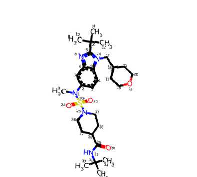 CN(c1ccc2c(c1)nc(C(C)(C)C)n2CC1CCOCC1)S(=O)(=O)N1CCC(C(=O)NC(C)(C)C)CC1